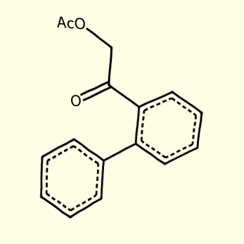 CC(=O)OCC(=O)c1ccccc1-c1ccccc1